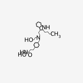 CCCCc1[nH]c2ccccc2c1CCN(CCO)Cc1ccc(CCC(=O)NO)cc1